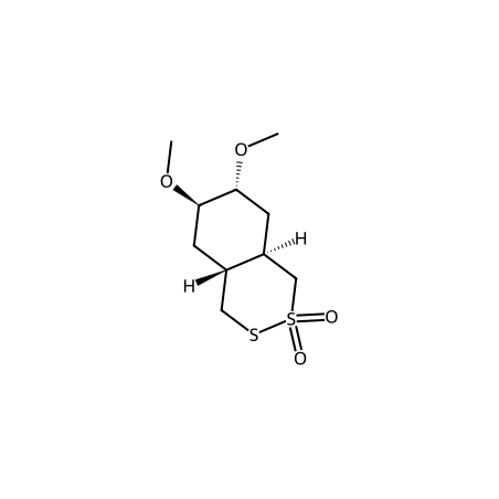 CO[C@@H]1C[C@H]2CSS(=O)(=O)C[C@@H]2C[C@H]1OC